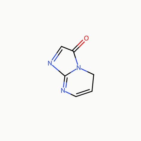 O=C1C=NC2=NC=CCN12